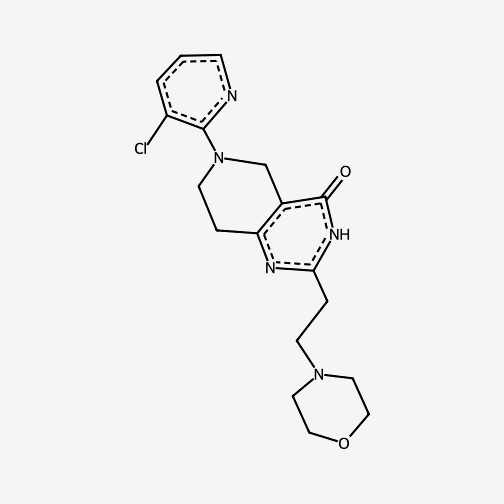 O=c1[nH]c(CCN2CCOCC2)nc2c1CN(c1ncccc1Cl)CC2